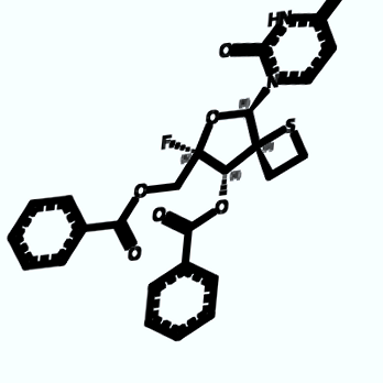 O=C(OC[C@@]1(F)O[C@@H](n2ccc(=O)[nH]c2=O)[C@@]2(CCS2)[C@@H]1OC(=O)c1ccccc1)c1ccccc1